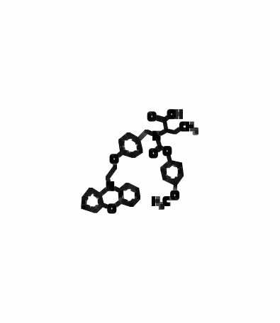 CCC(C(=O)O)N(Cc1ccc(OCCN2c3ccccc3Oc3ccccc32)cc1)C(=O)Oc1ccc(OC)cc1